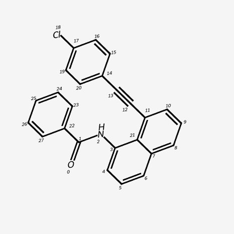 O=C(Nc1cccc2cccc(C#Cc3ccc(Cl)cc3)c12)c1ccccc1